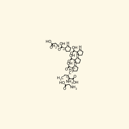 CC[C@H](C)[C@H](N)C(=O)O.NCC(=O)O.NCC(=O)O.O=C(O)[C@@H]1CCCN1.O=C(O)[C@@H]1CCCN1.O=C(O)[C@@H]1CCCN1.O=C(O)[C@@H]1CCCN1